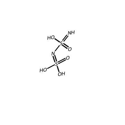 N=S(=O)(O)N=S(=O)(O)O